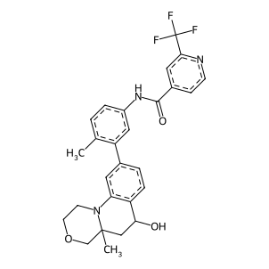 Cc1ccc(NC(=O)c2ccnc(C(F)(F)F)c2)cc1-c1ccc2c(c1)N1CCOCC1(C)CC2O